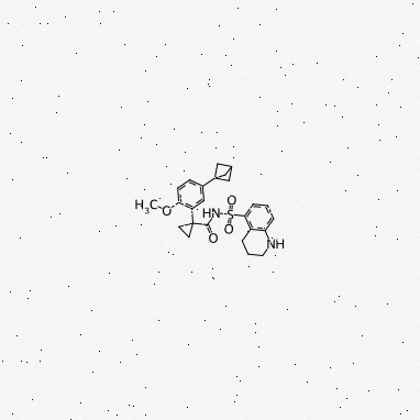 COc1ccc(C23CC(C2)C3)cc1C1(C(=O)NS(=O)(=O)c2cccc3c2CCCN3)CC1